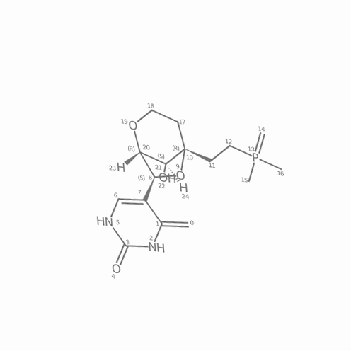 C=C1NC(=O)NC=C1[C@@H]1O[C@@]2(CCP(=C)(C)C)CCO[C@@H]1[C@@H]2O